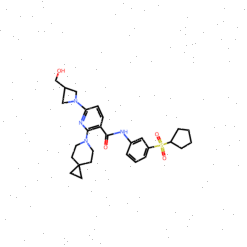 O=C(Nc1cccc(S(=O)(=O)C2CCCC2)c1)c1ccc(N2CC(CO)C2)nc1N1CCC2(CC1)CC2